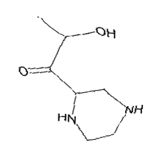 [CH2]C(O)C(=O)C1CNCCN1